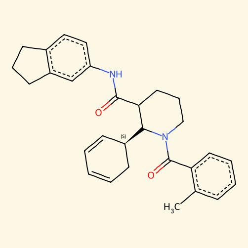 Cc1ccccc1C(=O)N1CCCC(C(=O)Nc2ccc3c(c2)CCC3)C1[C@@H]1C=CC=CC1